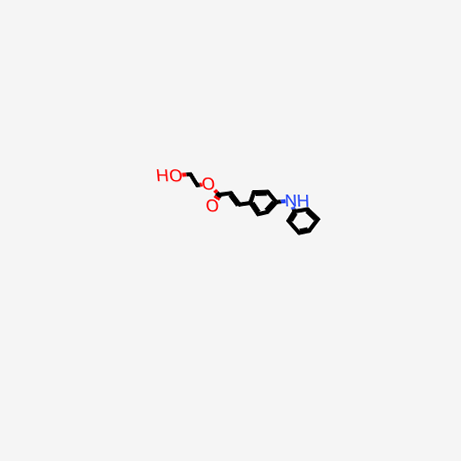 O=C(C=Cc1ccc(Nc2ccccc2)cc1)OCCO